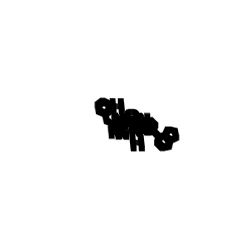 O=C(Nc1cc(-c2cccc3c2CCC3)ccn1)c1nnc(Cc2ccccc2)[nH]1